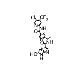 C[C@@H](NC(=O)c1cnc2n1CC(O)N2)c1ncc(C(=O)Nc2cc(C(F)(F)F)c(Cl)cn2)s1